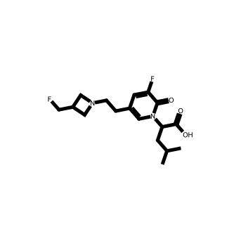 CC(C)CC(C(=O)O)n1cc(CCN2CC(CF)C2)cc(F)c1=O